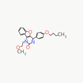 CCCCOc1ccc(-c2nc(=O)n(CCOC)c3c2oc2ccccc23)cc1